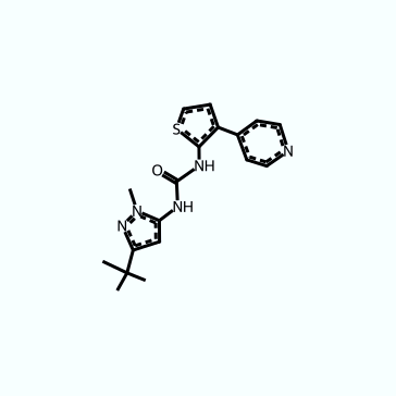 Cn1nc(C(C)(C)C)cc1NC(=O)Nc1sccc1-c1ccncc1